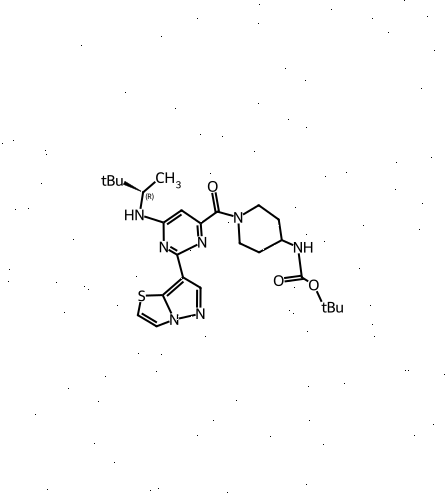 C[C@@H](Nc1cc(C(=O)N2CCC(NC(=O)OC(C)(C)C)CC2)nc(-c2cnn3ccsc23)n1)C(C)(C)C